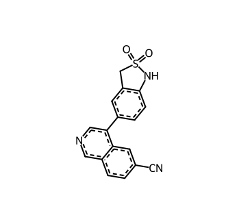 N#Cc1ccc2cncc(-c3ccc4c(c3)CS(=O)(=O)N4)c2c1